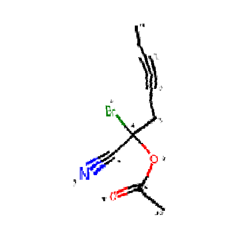 CC#CCC(Br)(C#N)OC(C)=O